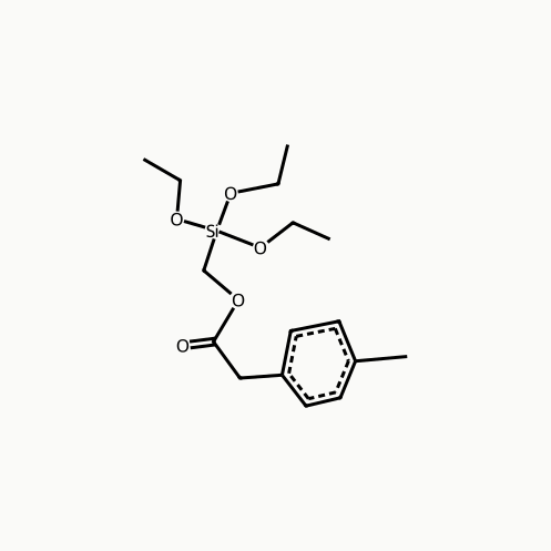 CCO[Si](COC(=O)Cc1ccc(C)cc1)(OCC)OCC